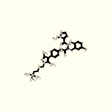 Cc1nn(COCC[Si](C)(C)C)c(C)c1-c1ccc(NC(=O)[C@H](Cc2cc(Br)ccc2Cl)NC(=O)c2ccnn2C)cc1